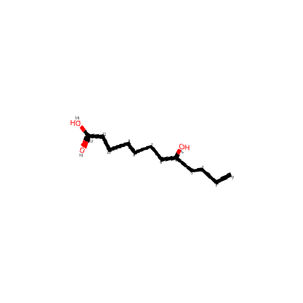 CCCCC(O)CCCCCCC(=O)O